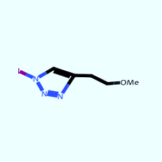 COCCc1cn(I)nn1